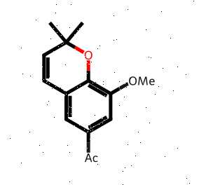 COc1cc(C(C)=O)cc2c1OC(C)(C)C=C2